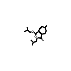 CC(C)COC(=O)C1=C(C(=O)OCC(C)C)CCC(C)C=C1